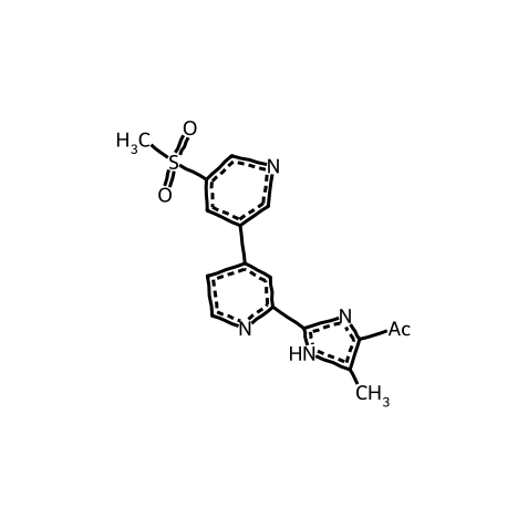 CC(=O)c1nc(-c2cc(-c3cncc(S(C)(=O)=O)c3)ccn2)[nH]c1C